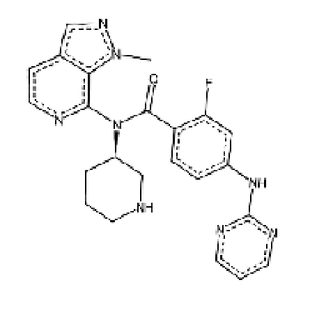 Cn1ncc2ccnc(N(C(=O)c3ccc(Nc4ncccn4)cc3F)[C@@H]3CCCNC3)c21